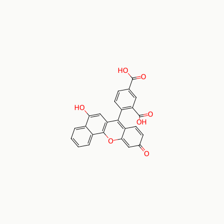 O=C(O)c1ccc(-c2c3ccc(=O)cc-3oc3c2cc(O)c2ccccc23)c(C(=O)O)c1